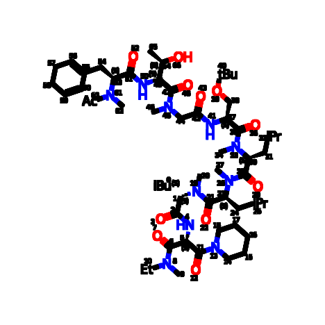 CC[C@H](C)[C@@H](C(=O)N[C@@H](C(=O)N(C)CC)C(=O)N1CCCCC1)N(C)C(=O)[C@H](CC(C)C)N(C)C(=O)[C@H](CC(C)C)N(C)C(=O)[C@H](COC(C)(C)C)NC(=O)CN(C)C(=O)[C@@H](NC(=O)[C@H](CC1=CCCC=C1)N(C)C(C)=O)[C@@H](C)O